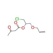 C=CCOCC(CCl)OC(=O)CC(C)=O